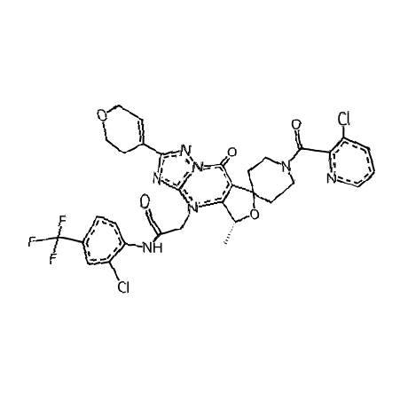 C[C@H]1OC2(CCN(C(=O)c3ncccc3Cl)CC2)c2c1n(CC(=O)Nc1ccc(C(F)(F)F)cc1Cl)c1nc(C3=CCOCC3)nn1c2=O